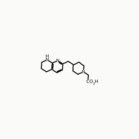 O=C(O)CN1CCC(Cc2ccc3c(n2)NCCC3)CC1